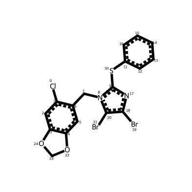 Clc1cc2c(cc1Cn1c(Sc3ccccc3)nc(Br)c1Br)OCO2